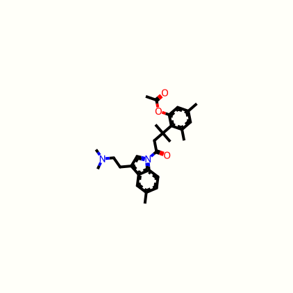 CC(=O)Oc1cc(C)cc(C)c1C(C)(C)CC(=O)n1cc(CCN(C)C)c2cc(C)ccc21